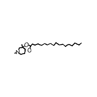 CCCCCCCCCCCCCCCCCC(=O)OC1(C)CCCN(C)C1